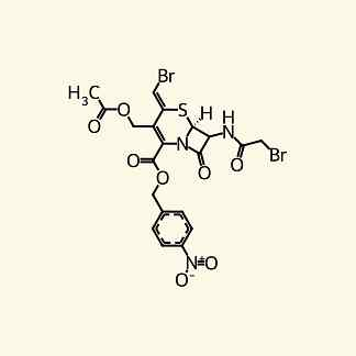 CC(=O)OCC1=C(C(=O)OCc2ccc([N+](=O)[O-])cc2)N2C(=O)C(NC(=O)CBr)[C@@H]2SC1=CBr